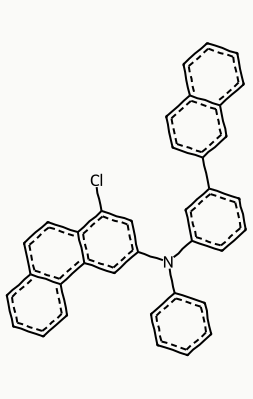 Clc1cc(N(c2ccccc2)c2cccc(-c3ccc4ccccc4c3)c2)cc2c1ccc1ccccc12